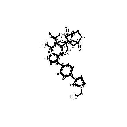 CCn1ccc(-c2ccc(-c3cnn4c(N)c(C(C)=O)c(C5C[C@H]6CC[C@@H](C5)N6C(=O)CO)nc34)cn2)n1